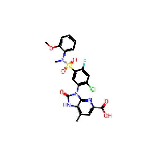 COc1ccccc1N(C)S(=O)(=O)c1cc(-n2c(=O)[nH]c3c(C)cc(C(=O)O)nc32)c(Cl)cc1F